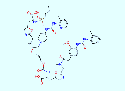 C=CCOC(=O)NC(CC1CN=C(CN(C)C(=O)Cc2ccc(NC(=O)Nc3ccccc3C)c(OC)c2)O1)C(=O)O.CCCCS(=O)(=O)NC(CC1CN=C(C[As](C)C(=O)CN2CCC(NC(=O)Nc3ncccc3C)CC2)O1)C(=O)O